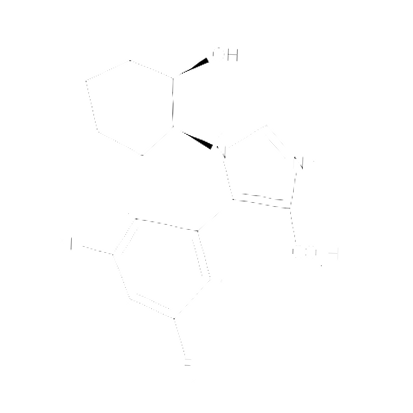 O=C(O)c1ncn([C@H]2CCCC[C@H]2O)c1-c1cc(F)cc(F)c1